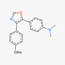 COc1ccc(-c2ncoc2-c2ccc(N(C)C)cc2)cc1